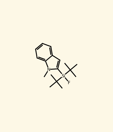 Cn1c([Si](F)(C(C)(C)C)C(C)(C)C)cc2ccccc21